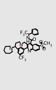 CS(=O)(=O)c1ccc2nc(-c3cccc(C(F)(F)F)c3)c(CN3CCC(N4CCCCCC4)CC3)c(C(=O)N[C@H](c3ccccc3)C(F)(F)F)c2c1